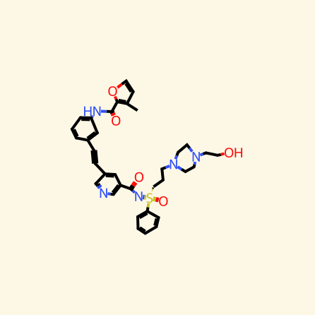 Cc1ccoc1C(=O)Nc1cccc(C#Cc2cncc(C(=O)N=[S@](=O)(CCCN3CCN(CCO)CC3)c3ccccc3)c2)c1